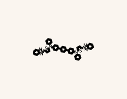 c1ccc(N(c2ccc(-c3ccc(-c4ccc(N(c5ccccc5)c5ccc(-n6nc7ccccc7n6)s5)cc4)cc3)cc2)c2ccc(-n3nc4ccccc4n3)s2)cc1